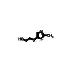 Cc1ncc(SCCO)s1